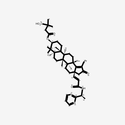 CC(C)C1=C2[C@H]3CC[C@@H]4[C@@]5(C)CC[C@H](OC(=O)CC(C)(C)C(=O)O)C(C)(C)[C@@H]5CC[C@@]4(C)[C@]3(C)CC[C@@]2(/C=C/C(=O)N[C@@H](C)c2ncccn2)CC1=O